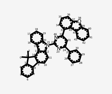 CC1(C)c2ccccc2-c2ccc3c(c21)c1ccccc1n3-c1nc(-c2ccccc2)cc(-c2cccc3oc4ccccc4c23)n1